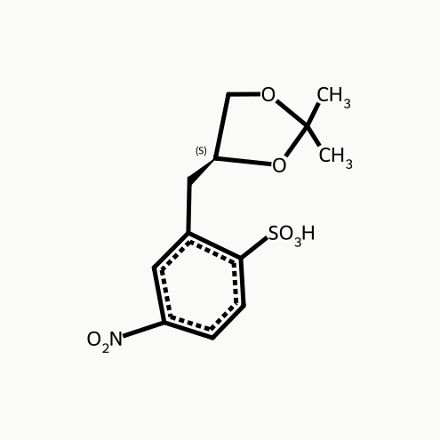 CC1(C)OC[C@H](Cc2cc([N+](=O)[O-])ccc2S(=O)(=O)O)O1